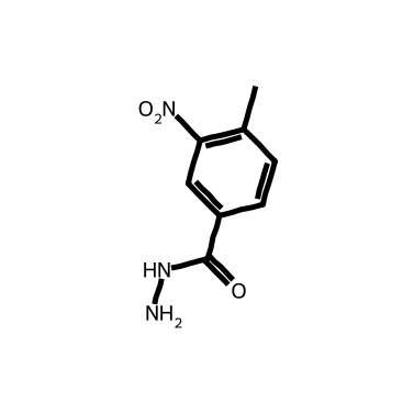 Cc1ccc(C(=O)NN)cc1[N+](=O)[O-]